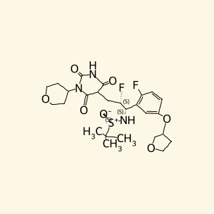 CC(C)(C)[S@@+]([O-])N[C@@H](c1cc(OC2CCOC2)ccc1F)[C@@H](F)CC1C(=O)NC(=O)N(C2CCOCC2)C1=O